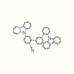 N#Cc1ccc(N2c3ccccc3C3C=CC=CC32)cc1-c1cccc(-c2ccccc2-n2c3ccccc3c3ccccc32)c1